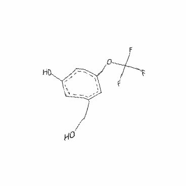 OCc1cc(O)cc(OC(F)(F)F)c1